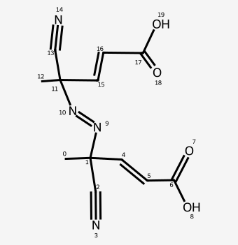 CC(C#N)(/C=C/C(=O)O)/N=N/C(C)(C#N)/C=C/C(=O)O